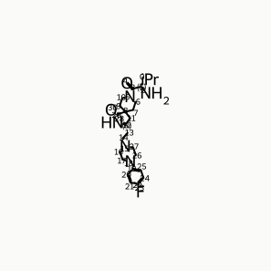 CC(C)[C@H](N)C(=O)N1CCC2(CC1)C[C@H](CCN1CCN(c3ccc(F)cc3)CC1)NC2=O